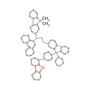 CC1(C)c2ccccc2-c2ccc(C(CCc3ccc4c(c3)C(c3ccccc3)(c3ccc(-c5cccc6c5oc5ccccc56)cc3)c3ccccc3-4)c3cc4ccccc4c4ccccc34)cc21